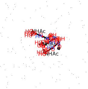 CC(=O)NC1C(OCCCCCC(=O)NCCCCCC(=O)N(CCO)CCOP(=O)(O)OCCN(CCOP(=O)(O)OCCN(CCOC2CCCC2)C(=O)CCCCCNC(=O)CCCCCOC2OC(CO)C(O)C(O)C2NC(C)=O)C(=O)CCCCCNC(=O)CCCCCOC2OC(CO)C(O)C(O)C2NC(C)=O)OC(CO)C(O)C1O